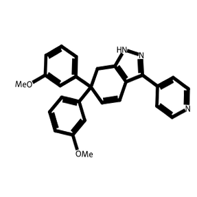 COc1cccc(C2(c3cccc(OC)c3)C=Cc3c(-c4ccncc4)n[nH]c3C2)c1